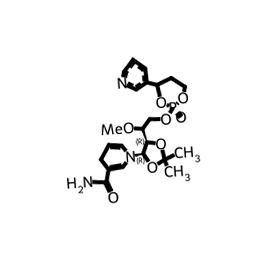 COC(COP1(=O)OCCC(c2cccnc2)O1)[C@H]1OC(C)(C)O[C@H]1N1C=CCC(C(N)=O)=C1